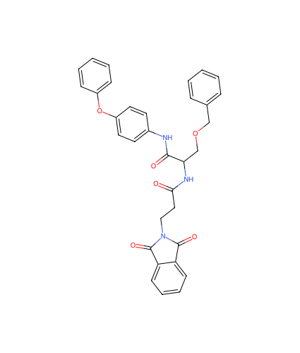 O=C(CCN1C(=O)c2ccccc2C1=O)NC(COCc1ccccc1)C(=O)Nc1ccc(Oc2ccccc2)cc1